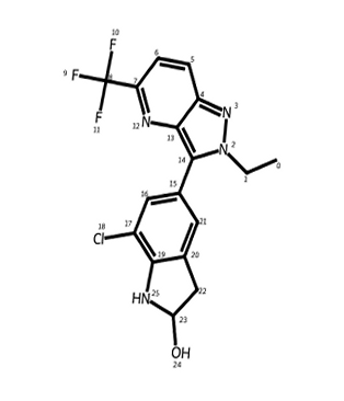 CCn1nc2ccc(C(F)(F)F)nc2c1-c1cc(Cl)c2c(c1)CC(O)N2